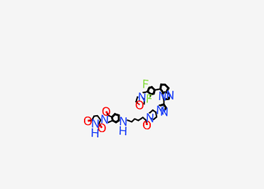 O=C1CCC(N2Cc3cc(NCCCCCC(=O)N4CCC(n5cc(-c6cnc7cccc(-c8cc(F)c(CN9CCOCC9)c(F)c8)c7n6)cn5)CC4)ccc3C2=O)C(=O)N1